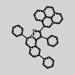 c1ccc(-c2ccc3cc(-c4ccccc4)n4nc(-c5cc6cccc7ccc8cccc5c8c76)c(-c5ccccc5)c4c3c2)cc1